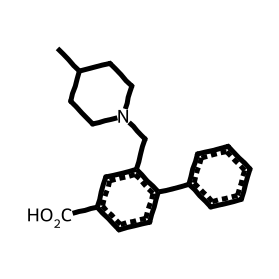 CC1CCN(Cc2cc(C(=O)O)ccc2-c2ccccc2)CC1